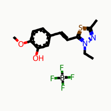 CC[n+]1nc(C)sc1C=Cc1ccc(OC)c(O)c1.F[B-](F)(F)F